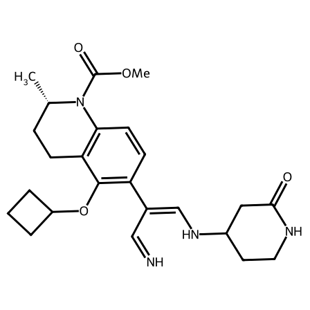 COC(=O)N1c2ccc(/C(C=N)=C/NC3CCNC(=O)C3)c(OC3CCC3)c2CC[C@@H]1C